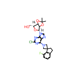 CC1(C)O[C@@H]2[C@H](O1)[C@@H](CO)O[C@H]2n1cnc2c(N3CC4(CCc5cccc(F)c54)C3)nc(Cl)nc21